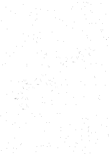 COc1cc(N2CCC(N3CCC(CN4CCN(c5ccc6c(c5)C(=O)N(C5CCC(=O)NC5=O)C6=O)CC4)CC3)CC2)c(-c2cnn(C)c2)cc1Nc1ncc(Cl)c(Nc2ccc3nccnc3c2P(C)(C)=O)n1